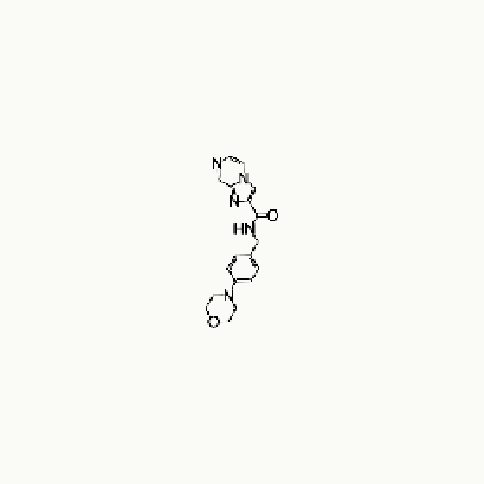 O=C(NCc1ccc(N2CCOCC2)cc1)c1cn2ccncc2n1